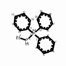 CCP[PH](c1ccccc1)(c1ccccc1)c1ccccc1